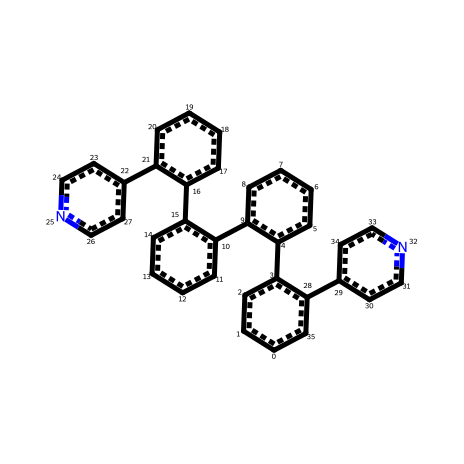 c1ccc(-c2ccccc2-c2ccccc2-c2ccccc2-c2ccncc2)c(-c2ccncc2)c1